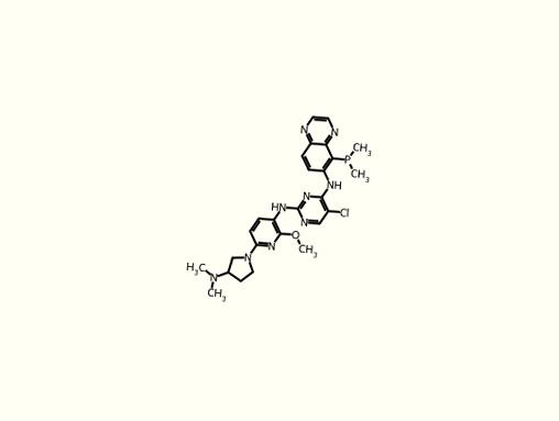 COc1nc(N2CCC(N(C)C)C2)ccc1Nc1ncc(Cl)c(Nc2ccc3nccnc3c2P(C)C)n1